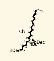 CCCCCCCCC=CCCCCCCCC[N+](CCCC)(CCCCCCCCCCC)CCCCCCCCCCCCCC.[Cl-]